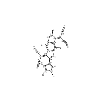 CC1=Cc2c(C)c3c(c(C)c2C1=C(C#N)C#N)C=C(c1sc(C)c(C)c1C)C3=C(C#N)C#N